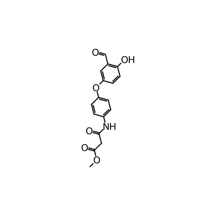 COC(=O)CC(=O)Nc1ccc(Oc2ccc(O)c(C=O)c2)cc1